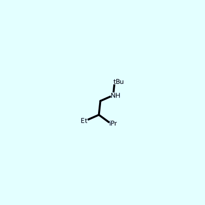 CCC(CNC(C)(C)C)C(C)C